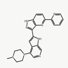 CN1CCN(c2cncc3[nH]c(-c4n[nH]c5ccc(-c6ccccn6)nc45)cc23)CC1